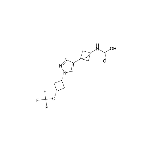 O=C(O)NC12CC(c3cn([C@H]4C[C@@H](OC(F)(F)F)C4)nn3)(C1)C2